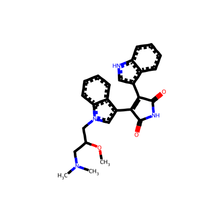 COC(CN(C)C)Cn1cc(C2=C(c3c[nH]c4ccccc34)C(=O)NC2=O)c2ccccc21